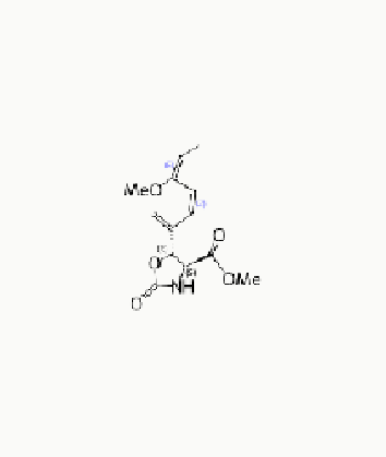 C=C(/C=C\C(=C/C)OC)[C@H]1OC(=O)N[C@@H]1C(=O)OC